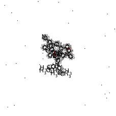 CC(C)(C)c1ccc2c(c1)c1cc(C(C)(C)C)ccc1n2-c1ccc2c(c1)Sc1cc(-c3cc4c5c(c3-c3ccccc3C(C)(C)C)Oc3ccccc3B5c3cc(-c5ccncc5)ccc3O4)cc3c1B2c1ccc(-n2c4ccccc4c4ccccc42)cc1N3c1cc(-c2ccccc2)cc(-c2ccccc2)c1